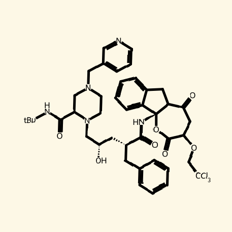 CC(C)(C)NC(=O)C1CN(Cc2cccnc2)CCN1C[C@@H](O)C[C@@H](Cc1ccccc1)C(=O)N[C@]12OC(=O)C(OCC(Cl)(Cl)Cl)CC(=O)C1Cc1ccccc12